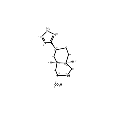 O=C(O)[C@@H]1C[C@H]2C[C@@H](c3nn[nH]n3)CC[C@H]2CN1